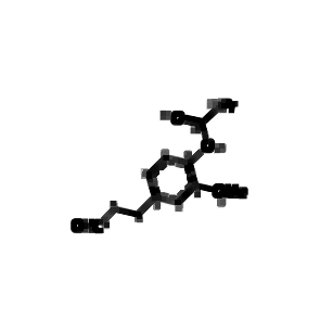 COc1cc(CCC=O)ccc1OC(=O)C(C)C